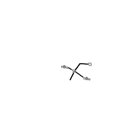 CCCC[Si](C)(CCl)CCCC